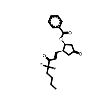 CCCCC(F)(F)C(=O)C=C[C@@H]1CC(=O)C[C@@H]1OC(=O)c1ccccc1